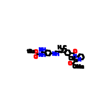 COC(=O)CCN(C(=O)c1cc(C)c(C#CCNc2ccc(C(=N)NC(=O)OC(C)(C)C)cc2)cc1C)c1ccccn1